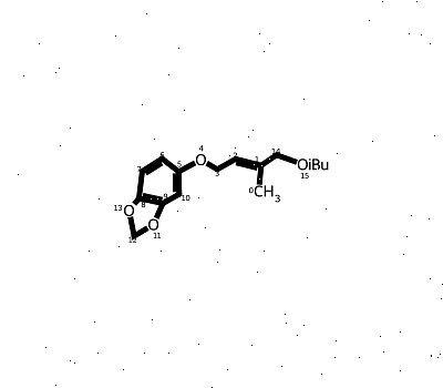 C/C(=C\COc1ccc2c(c1)OCO2)COCC(C)C